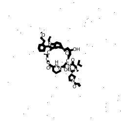 C=CC(=O)N1CC[C@H](C(=O)N(C)[C@H](C(=O)N[C@H]2Cc3cc(O)cc(c3)-c3ccc4c(c3)c(c(-c3ccccc3CCOC)n4CC)C[C@H](C)COC(=O)[C@@H]3CCCN(N3)C2=O)C(C)C)C1